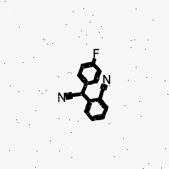 N#Cc1ccccc1C(C#N)c1ccc(F)cc1